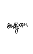 C[C@@H]1CN(c2nc3c(N4CCOCC4)nc(-c4cnc(N)nc4)nc3n2CC(F)(F)F)CCN1S(C)(=O)=O